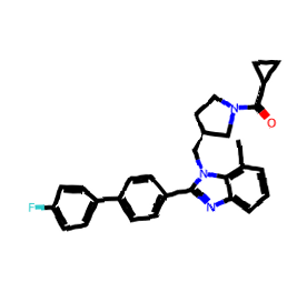 Cc1cccc2nc(-c3ccc(-c4ccc(F)cc4)cc3)n(C[C@H]3CCN(C(=O)C4CC4)C3)c12